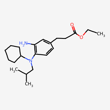 CCOC(=O)CCc1ccc(N(CC(C)C)C2CCCCC2)c(N)c1